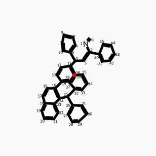 C=N/C(=C\C(c1ccccc1)c1ccc(-c2ccc3ccccc3c2C(c2ccccc2)c2ccccc2)cc1)c1ccccc1